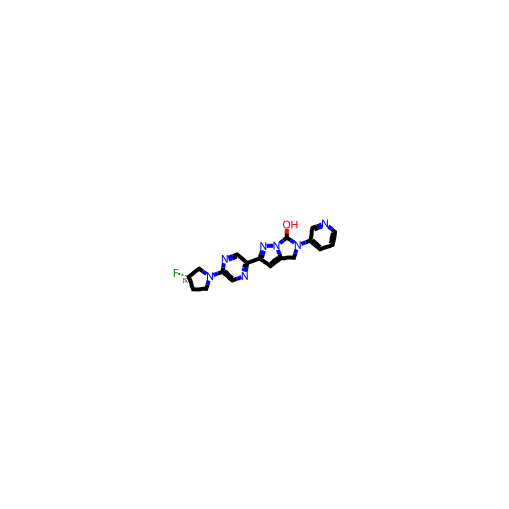 OC1N(c2cccnc2)Cc2cc(-c3cnc(N4CC[C@H](F)C4)cn3)nn21